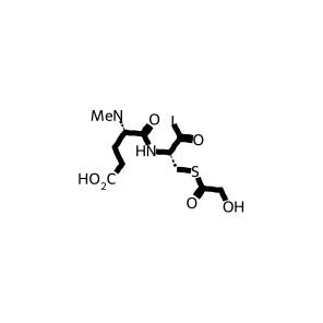 CN[C@@H](CCC(=O)O)C(=O)N[C@@H](CSC(=O)CO)C(=O)I